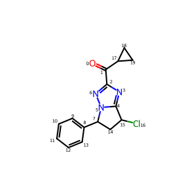 O=C(c1nc2n(n1)C(c1ccccc1)CC2Cl)C1CC1